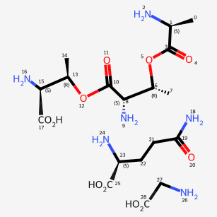 C[C@H](N)C(=O)O[C@H](C)[C@H](N)C(=O)O[C@H](C)[C@H](N)C(=O)O.NC(=O)CC[C@H](N)C(=O)O.NCC(=O)O